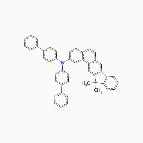 CC1(C)c2ccccc2-c2cc3ccc4ccc(N(c5ccc(-c6ccccc6)cc5)c5ccc(-c6ccccc6)cc5)cc4c3cc21